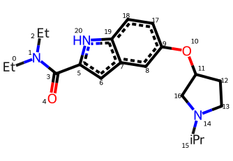 CCN(CC)C(=O)c1cc2cc(OC3CCN(C(C)C)C3)ccc2[nH]1